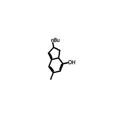 CCCCC1C=C2C=C(C)C=C(O)C2C1